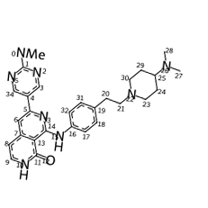 CNc1ncc(-c2cc3cc[nH]c(=O)c3c(Nc3ccc(CCN4CCC(N(C)C)CC4)cc3)n2)cn1